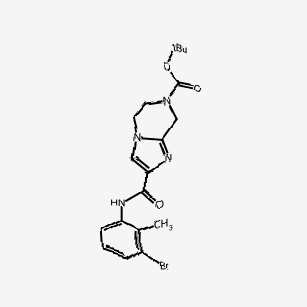 Cc1c(Br)cccc1NC(=O)c1cn2c(n1)CN(C(=O)OC(C)(C)C)CC2